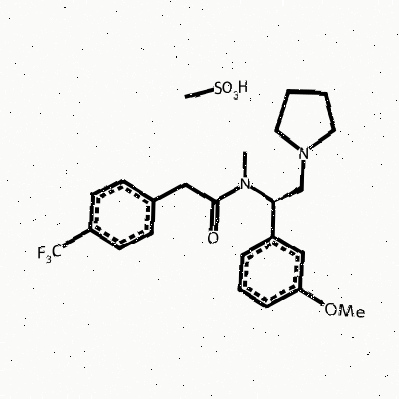 COc1cccc([C@H](CN2CCCC2)N(C)C(=O)Cc2ccc(C(F)(F)F)cc2)c1.CS(=O)(=O)O